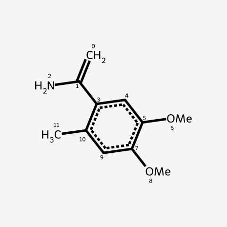 C=C(N)c1cc(OC)c(OC)cc1C